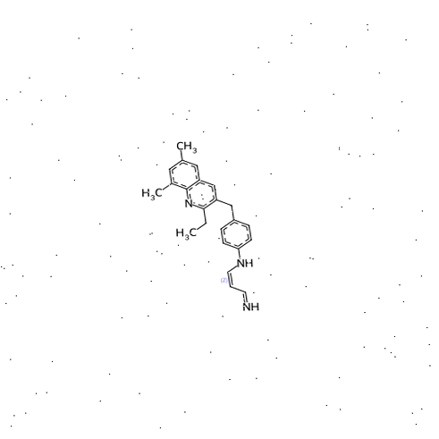 CCc1nc2c(C)cc(C)cc2cc1Cc1ccc(N/C=C\C=N)cc1